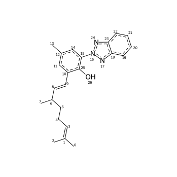 CC(C)=CCCC(C)/C=C/c1cc(C)cc(-n2nc3ccccc3n2)c1O